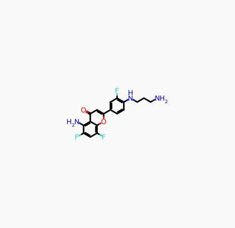 NCCCNc1ccc(-c2cc(=O)c3c(N)c(F)cc(F)c3o2)cc1F